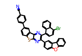 N#Cc1ccc(-c2ccc3sc4nc(-c5ccc6oc7ccccc7c6c5)c(-c5ccc(Br)c6ccccc56)nc4c3c2)cc1